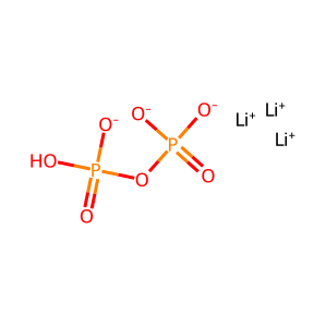 O=P([O-])([O-])OP(=O)([O-])O.[Li+].[Li+].[Li+]